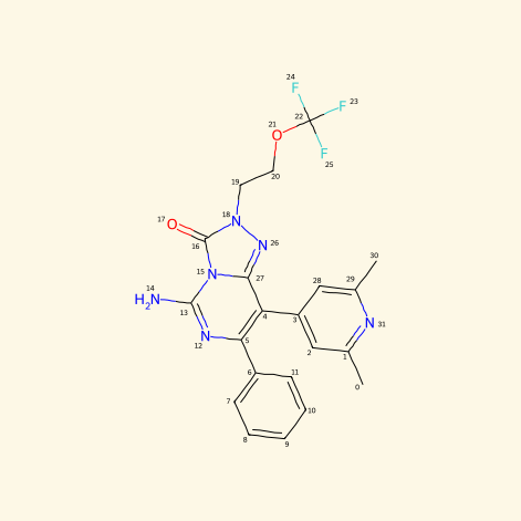 Cc1cc(-c2c(-c3ccccc3)nc(N)n3c(=O)n(CCOC(F)(F)F)nc23)cc(C)n1